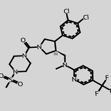 CN(C[C@H]1CN(C(=O)N2CCN(S(C)(=O)=O)CC2)CC1c1ccc(Cl)c(Cl)c1)c1ccc(C(F)(F)F)cn1